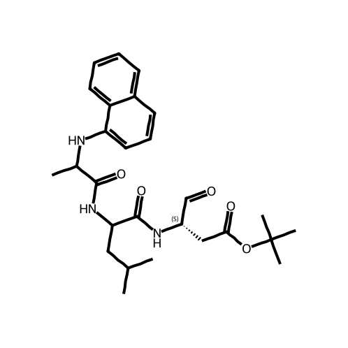 CC(C)CC(NC(=O)C(C)Nc1cccc2ccccc12)C(=O)N[C@H](C=O)CC(=O)OC(C)(C)C